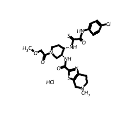 COCC(=O)N1CC[C@H](NC(=S)C(=O)Nc2ccc(Cl)cc2)[C@H](NC(=O)c2nc3c(s2)CN(C)CC3)C1.Cl